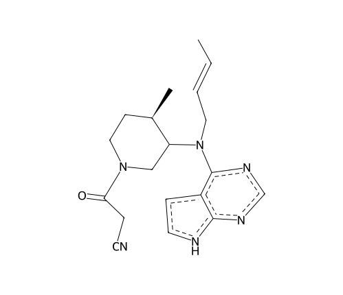 C/C=C/CN(c1ncnc2[nH]ccc12)C1CN(C(=O)CC#N)CC[C@H]1C